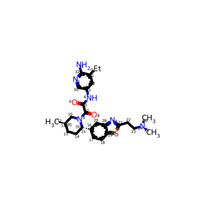 CCc1cc(NC(=O)C(=O)N2C[C@H](C)CC[C@H]2c2ccc3sc(CCN(C)C)nc3c2)cnc1N